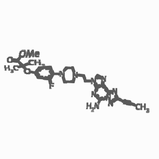 CC#Cc1nc2c3ncn(CCN4CCN(c5ccc(OC(C)(C)C(=O)OC)cc5F)CC4)c3nc(N)n2n1